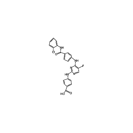 O=C(O)c1ccc(Nc2ncc(F)c(Nc3ccc(C(=O)Nc4ccccc4Cl)cc3)n2)cc1